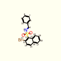 O=S(=O)(N=Cc1ccccc1)c1c(Br)ccc2ccccc12